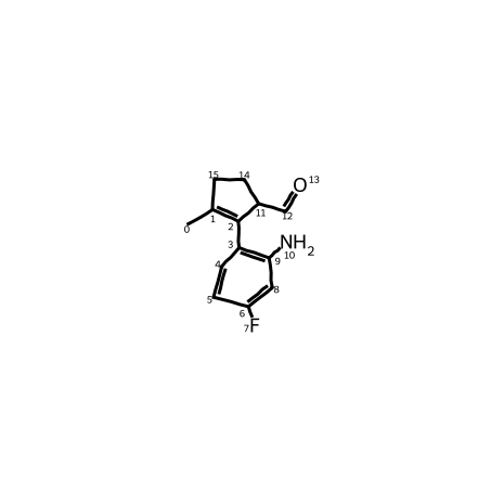 CC1=C(c2ccc(F)cc2N)C(C=O)CC1